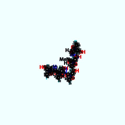 CCCNC(=O)Cc1c(C)n(C(=O)c2cccc(F)c2)c2ccc(O)c(F)c12.CCNC(=O)Cc1c(C)n(C(=O)c2cccc(F)c2)c2ccc(O)c(F)c12.CNC(=O)Cc1c(C)n(C(=O)c2cccc(F)c2)c2ccc(O)c(F)c12.Cc1c(CC(=O)O)c2c(F)c(O)ccc2n1C(=O)c1cccc(F)c1.Cc1c(CC(N)=O)c2c(F)c(O)ccc2n1C(=O)c1cccc(F)c1